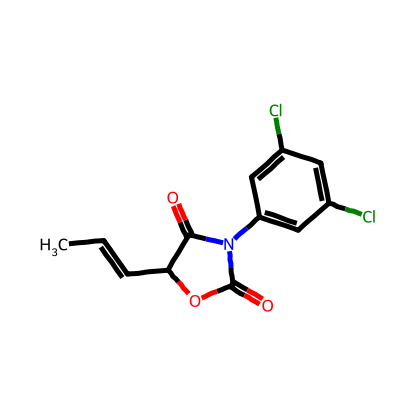 CC=CC1OC(=O)N(c2cc(Cl)cc(Cl)c2)C1=O